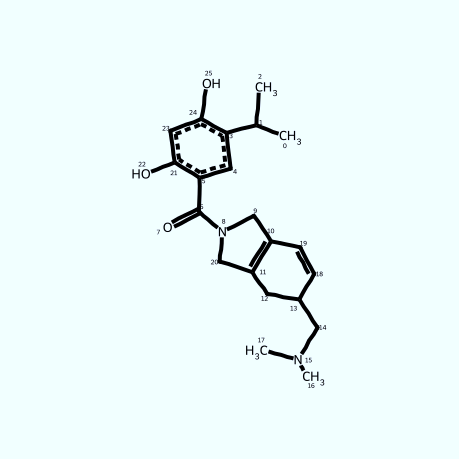 CC(C)c1cc(C(=O)N2CC3=C(CC(CN(C)C)C=C3)C2)c(O)cc1O